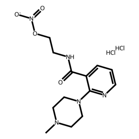 CN1CCN(c2ncccc2C(=O)NCCO[N+](=O)[O-])CC1.Cl.Cl